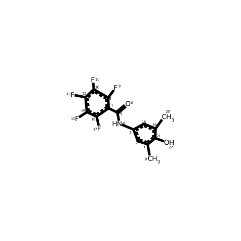 Cc1cc(NC(=O)c2c(F)c(F)c(F)c(F)c2F)cc(C)c1O